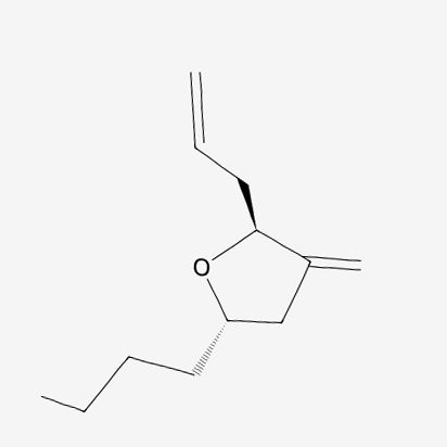 C=CC[C@@H]1O[C@@H](CCCC)CC1=C